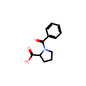 O=C(O)C1CCCN1C(=O)c1[c]cccc1